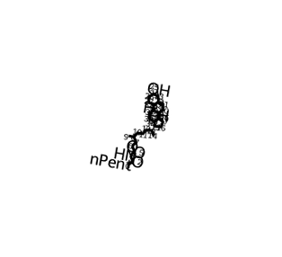 CCCCCC(=O)NC(=O)OCC(C)CCCC(C)[C@H]1CC[C@H]2[C@@H]3CC=C4C[C@@H](O)CC[C@]4(C)[C@H]3CC[C@]12C